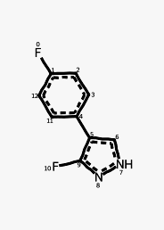 Fc1ccc(-c2c[nH]nc2F)cc1